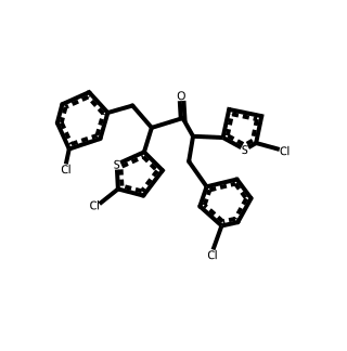 O=C(C(Cc1cccc(Cl)c1)c1ccc(Cl)s1)C(Cc1cccc(Cl)c1)c1ccc(Cl)s1